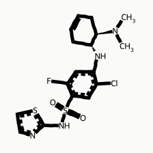 CN(C)[C@@H]1CC=CC[C@H]1Nc1cc(F)c(S(=O)(=O)Nc2nccs2)cc1Cl